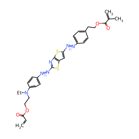 C=CC(=O)OCCN(CC)c1ccc(/N=N/c2nc3sc(/N=N/c4ccc(CCOC(=O)C(=C)C)cc4)cc3s2)cc1